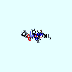 BCNC(=S)[C@H](Cc1ccccc1)NC(=O)[C@@H]1CCCN1C(=O)CNC(=O)OCc1ccccc1